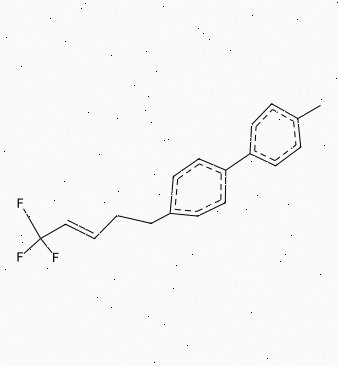 Cc1ccc(-c2ccc(CC/C=C/C(F)(F)F)cc2)cc1